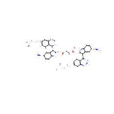 CN(C)CCOc1ccc2c(-c3c(OC(=O)/C=C/C(=O)Oc4[nH]c5ccc(C#N)cc5c4-c4ncnc5cc(OCCN(C)C)ccc45)[nH]c4ccc(C#N)cc34)ncnc2c1